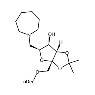 CCCCCCCCCCOC[C@@]12O[C@@H](CN3CCCCCC3)[C@@H](O)[C@@H]1OC(C)(C)O2